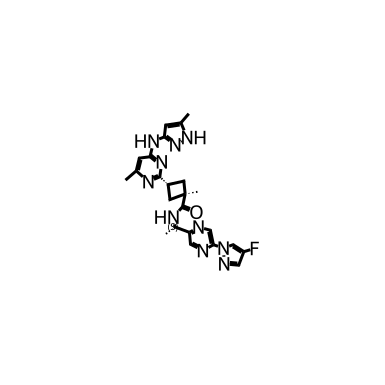 Cc1cc(Nc2cc(C)[nH]n2)nc([C@H]2C[C@](C)(C(=O)N[C@@H](C)c3cnc(-n4cc(F)cn4)cn3)C2)n1